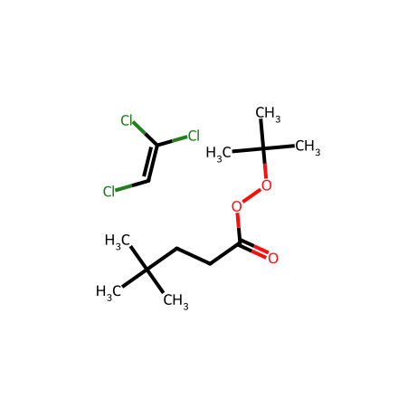 CC(C)(C)CCC(=O)OOC(C)(C)C.ClC=C(Cl)Cl